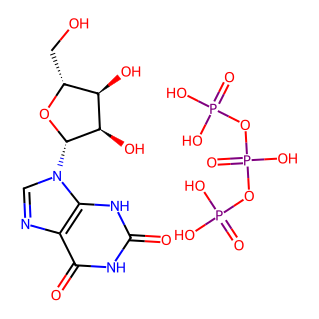 O=P(O)(O)OP(=O)(O)OP(=O)(O)O.O=c1[nH]c(=O)c2ncn([C@@H]3O[C@H](CO)[C@@H](O)[C@H]3O)c2[nH]1